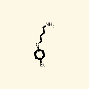 CCc1ccc(OCCCCN)cc1